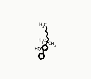 CCCCCCC(C)(C)c1ccc(-c2ccccc2)c(O)c1